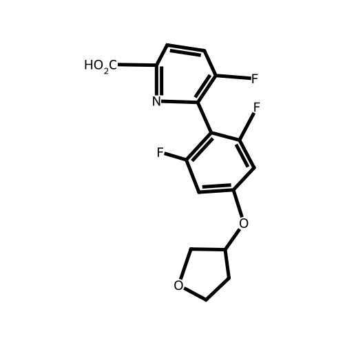 O=C(O)c1ccc(F)c(-c2c(F)cc(OC3CCOC3)cc2F)n1